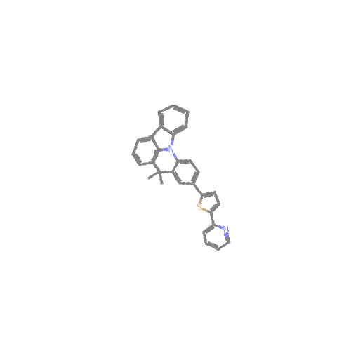 CC1(C)c2cc(-c3ccc(-c4ccccn4)s3)ccc2-n2c3ccccc3c3cccc1c32